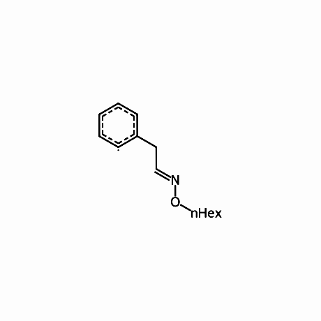 CCCCCCON=CCc1[c]cccc1